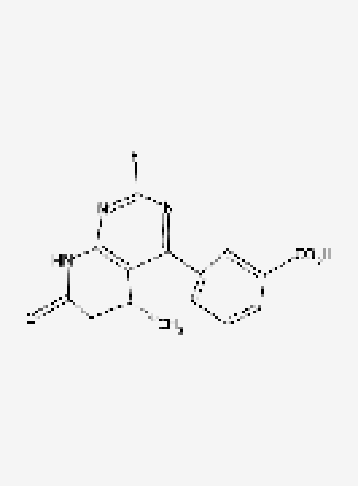 C[C@@H]1CC(=O)Nc2nc(F)nc(-c3cccc(C(=O)O)c3)c21